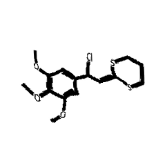 COc1cc(C(Cl)C=C2SCCCS2)cc(OC)c1OC